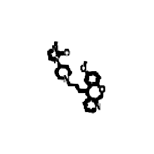 COc1ccc2c(c1)C(=CCCN1CCC(n3ccn(C)c3=O)CC1)c1cccnc1CO2